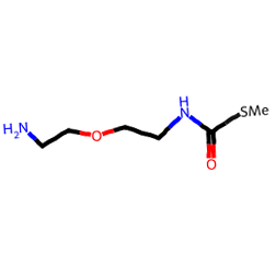 CSC(=O)NCCOCCN